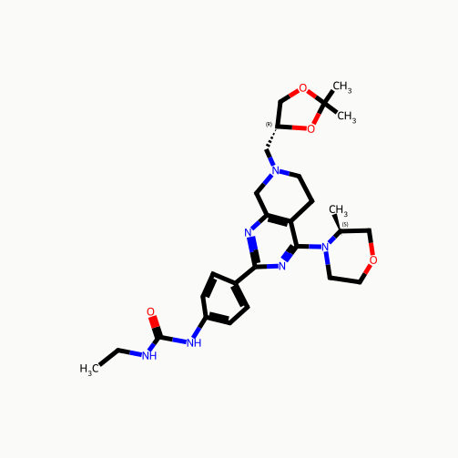 CCNC(=O)Nc1ccc(-c2nc3c(c(N4CCOC[C@@H]4C)n2)CCN(C[C@@H]2COC(C)(C)O2)C3)cc1